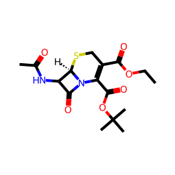 CCOC(=O)C1=C(C(=O)OC(C)(C)C)N2C(=O)C(NC(C)=O)[C@H]2SC1